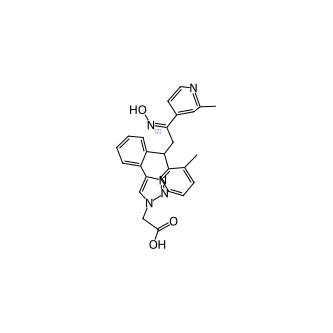 Cc1cc(/C(CC(c2ccccc2C)c2ccccc2-c2cn(CC(=O)O)nn2)=N\O)ccn1